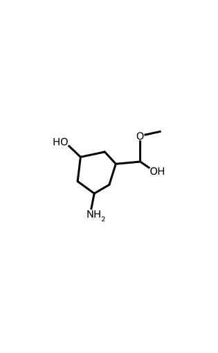 COC(O)C1CC(N)CC(O)C1